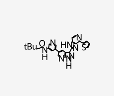 CC(C)(C)CC(=O)Nc1cncc(-c2cnc3[nH]nc(-c4nc5c(-c6cccs6)nccc5[nH]4)c3c2)c1